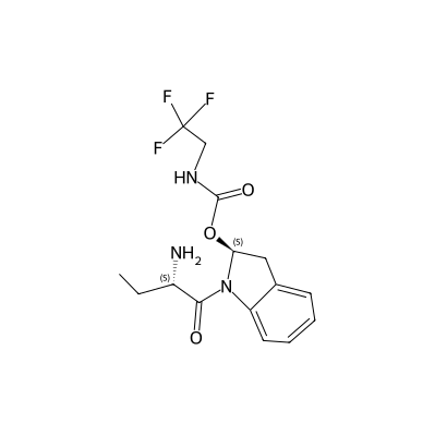 CC[C@H](N)C(=O)N1c2ccccc2C[C@@H]1OC(=O)NCC(F)(F)F